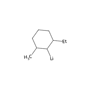 [Li][CH]1C(C)CCCC1CC